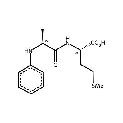 CSCC[C@H](NC(=O)[C@H](C)Nc1ccccc1)C(=O)O